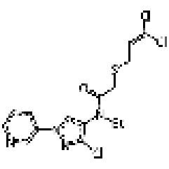 CCN(C(=O)CSCC=C(Cl)Cl)c1cn(-c2cccnc2)nc1Cl